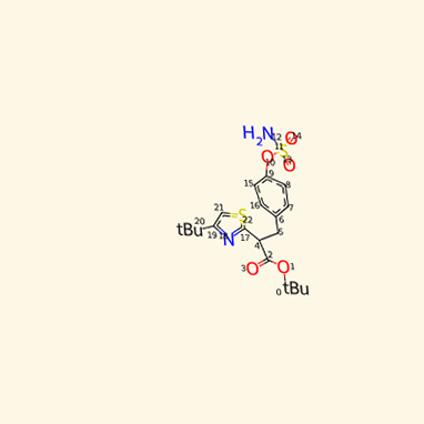 CC(C)(C)OC(=O)C(Cc1ccc(OS(N)(=O)=O)cc1)c1nc(C(C)(C)C)cs1